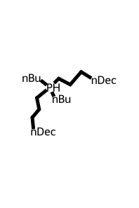 CCCCCCCCCCCCC[PH](CCCC)(CCCC)CCCCCCCCCCCCC